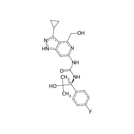 CC(C)(O)[C@@H](NC(=O)Nc1cc2[nH]nc(C3CC3)c2c(CO)n1)c1ccc(F)cc1